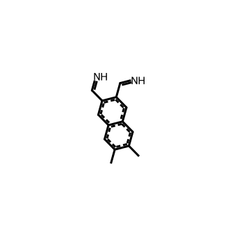 Cc1cc2cc(C=N)c(C=N)cc2cc1C